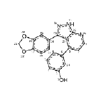 Oc1cccc(-c2ccnc3[nH]nc(-c4ccc5c(c4)OCO5)c23)c1